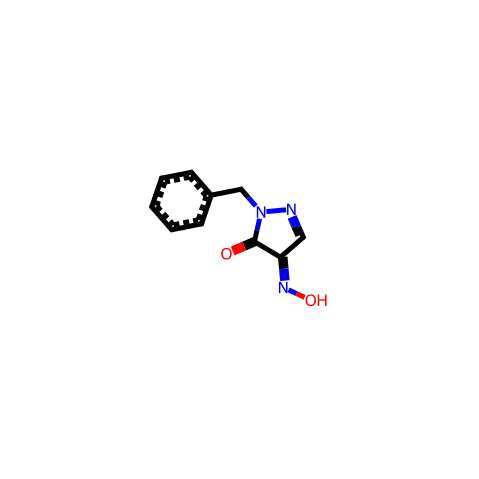 O=C1C(=NO)C=NN1Cc1ccccc1